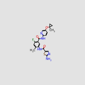 Cc1cc(F)c(C(=O)Nc2ccc(OC3(C)CC3)cn2)cc1NC(=O)c1cnc(N)s1